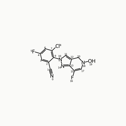 N#Cc1cc(F)cc(Cl)c1-n1cc2c(n1)C(F)=CN(O)C2